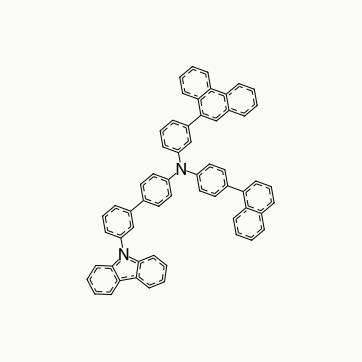 c1cc(-c2cc3ccccc3c3ccccc23)cc(N(c2ccc(-c3cccc(-n4c5ccccc5c5ccccc54)c3)cc2)c2ccc(-c3cccc4ccccc34)cc2)c1